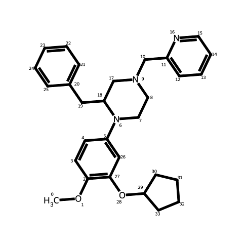 COc1ccc(N2CCN(Cc3ccccn3)CC2Cc2ccccc2)cc1OC1CCCC1